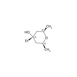 CC[C@@]1(O)C[C@@H](C)O[C@@H](C)C1